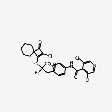 CC[C@@](Cc1ccc(NC(=O)c2c(Cl)cncc2Cl)cc1)(NC1=C(Cl)C(=O)C12CCCCC2)C(=O)O